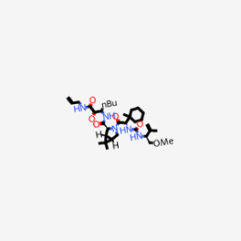 C=CCNC(=O)C(=O)C(CCCC)NC(=O)[C@@H]1[C@@H]2[C@H](CN1C(=O)[C@@H](NC(=O)N[C@H](COC)C(=C)C)C1(C)CCCCC1)C2(C)C